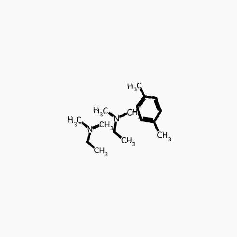 CCN(C)C.CCN(C)C.Cc1ccc(C)cc1